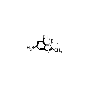 Bc1cc(B)c2c(c1)nc(C)n2B